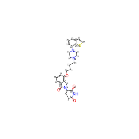 O=C1CCC(N2Cc3c(OCCCCN4CCN(c5cccc6ccsc56)CC4)cccc3C2=O)C(=O)N1